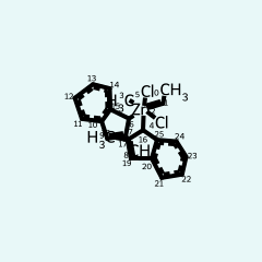 C[CH]=[Zr]([CH3])([Cl])([Cl])([CH]1C(C)=Cc2ccccc21)[CH]1C(C)=Cc2ccccc21